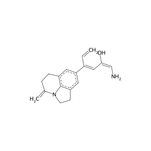 C=C/C(=C\C(O)=C/N)c1cc2c3c(c1)CCN3C(=C)CC2